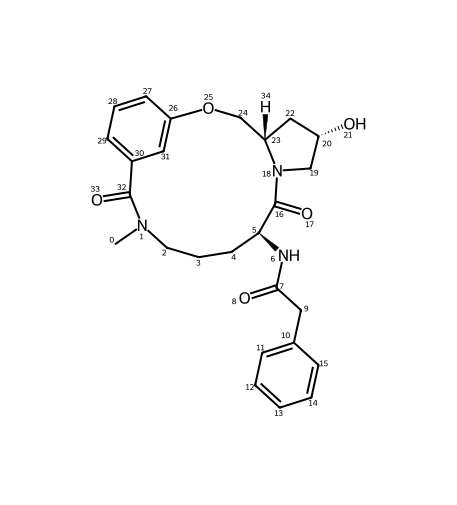 CN1CCC[C@H](NC(=O)Cc2ccccc2)C(=O)N2C[C@@H](O)C[C@H]2COc2cccc(c2)C1=O